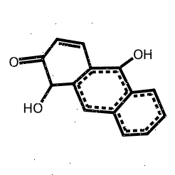 O=C1C=Cc2c(cc3ccccc3c2O)C1O